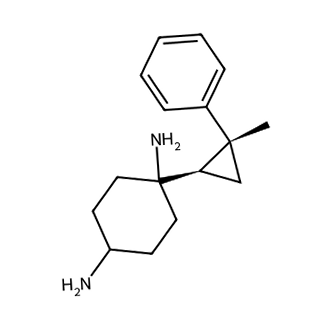 C[C@@]1(c2ccccc2)C[C@H]1C1(N)CCC(N)CC1